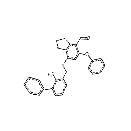 Cc1c(COc2cc(Oc3ccccc3)c(C=O)c3c2CCC3)cccc1-c1ccccc1